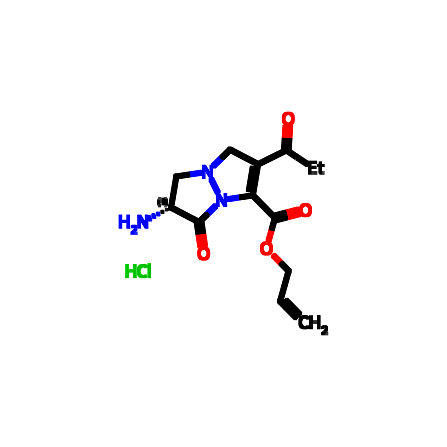 C=CCOC(=O)C1=C(C(=O)CC)CN2C[C@@H](N)C(=O)N12.Cl